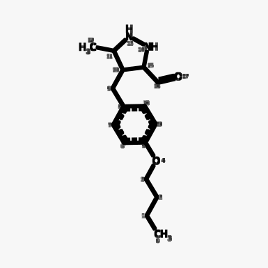 CCCCOc1ccc(CC2C(C)NNC2C=O)cc1